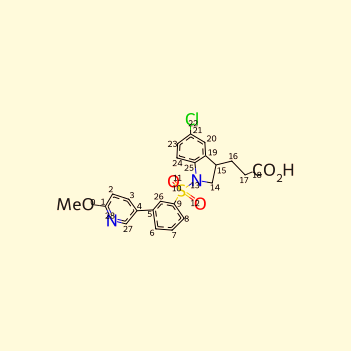 COc1ccc(-c2cccc(S(=O)(=O)N3CC(CCC(=O)O)c4cc(Cl)ccc43)c2)cn1